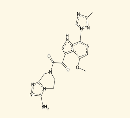 Bc1nnc2n1CCN(C(=O)C(=O)c1c[nH]c3c(-n4cnc(C)n4)ncc(OC)c13)C2